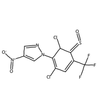 O=S=C1C(C(F)(F)F)=CC(Cl)=C(n2cc([N+](=O)[O-])cn2)C1Cl